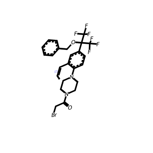 C/C=C\c1cc(C(OCc2ccccc2)(C(F)(F)F)C(F)(F)F)ccc1N1CCN(C(=O)CBr)CC1